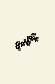 Cc1sc(C(=O)c2cncnc2N[C@@H]2C[C@H](CO)[C@@H](O[Si](C(C)C)(C(C)C)C(C)C)C2)cc1[C@@H]1OCCc2ccc(Cl)cc21